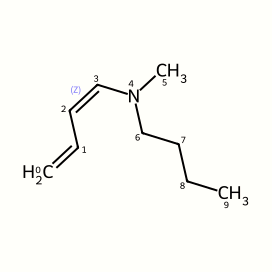 C=C/C=C\N(C)CCCC